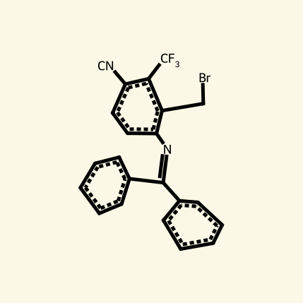 [C-]#[N+]c1ccc(N=C(c2ccccc2)c2ccccc2)c(CBr)c1C(F)(F)F